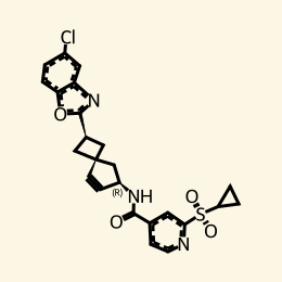 O=C(N[C@H]1C#C[C@]2(C1)C[C@H](c1nc3cc(Cl)ccc3o1)C2)c1ccnc(S(=O)(=O)C2CC2)c1